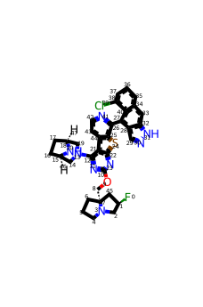 F[C@H]1CN2CCC[C@@]2(COc2nc(N3C[C@H]4CC[C@@H](C3)N4)c3c(n2)sc2c(-c4c5cn[nH]c5cc5cccc(Cl)c45)nccc23)C1